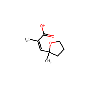 CC(=CC1(C)CCCO1)C(=O)O